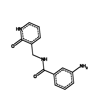 Nc1cccc(C(=O)NCc2ccc[nH]c2=O)c1